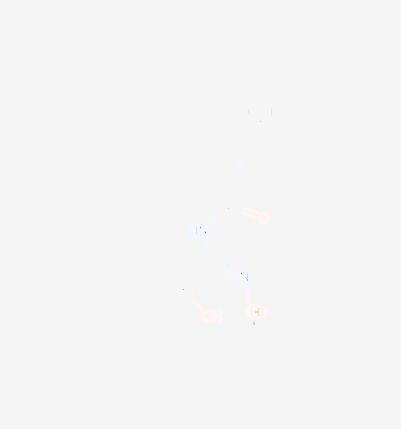 O=C(O)/C=C/C(=O)N/C(=N/O)C1(O)CCC1